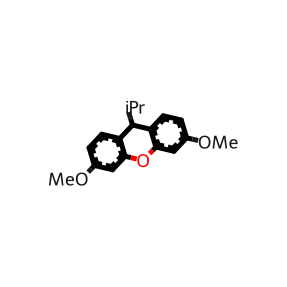 COc1ccc2c(c1)Oc1cc(OC)ccc1C2C(C)C